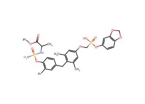 Cc1cc(OCP(=O)(O)Oc2ccc3c(c2)OCO3)cc(C)c1Cc1ccc(OP(N)(=O)NC(C)C(=O)OC(C)C)c(C(C)C)c1